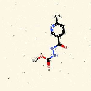 Cc1ccc(C(=O)NNC(=O)OC(C)(C)C)cn1